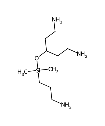 C[Si](C)(CCCN)OC(CCN)CCN